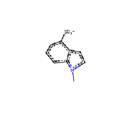 Cn1ccc2c(S(=O)(=O)O)cccc21